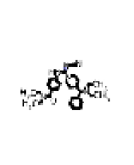 CCN(CC)C(=O)c1ccc(N/C(=N/C#N)N2CCC(C(c3ccccc3)N(CC)CC)CC2)cc1